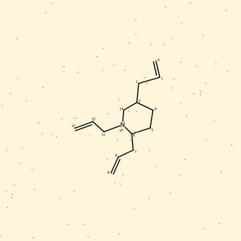 C=CCC1CCC(CC=C)N(CC=C)C1